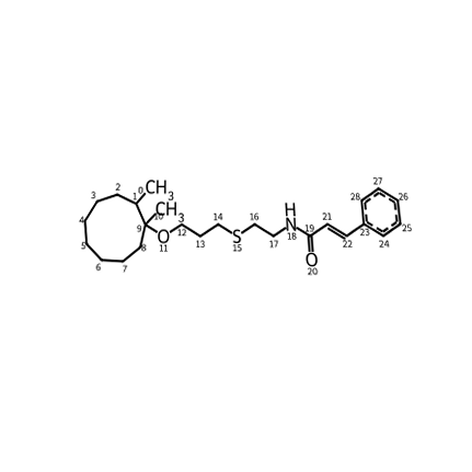 CC1CCCCCCCC1(C)OCCCSCCNC(=O)/C=C/c1ccccc1